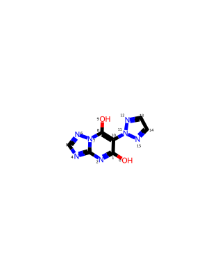 Oc1nc2ncnn2c(O)c1-n1nccn1